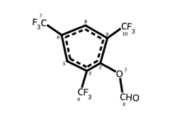 O=COc1c(C(F)(F)F)cc(C(F)(F)F)cc1C(F)(F)F